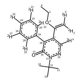 [2H]C([2H])=C(OCC)c1c([2H])nn(C(C)(C)C)c(=O)c1-c1c([2H])c([2H])c([2H])c([2H])c1[2H]